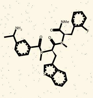 CNC(=O)[C@@H](Cc1ccccc1F)N(C)C(=O)[C@@H](Cc1csc2ccccc12)N(C)C(=O)c1cccc(C(C)N)c1